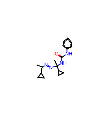 CC(N=NC(C)(NC(=O)Nc1ccccc1)C1CC1)C1CC1